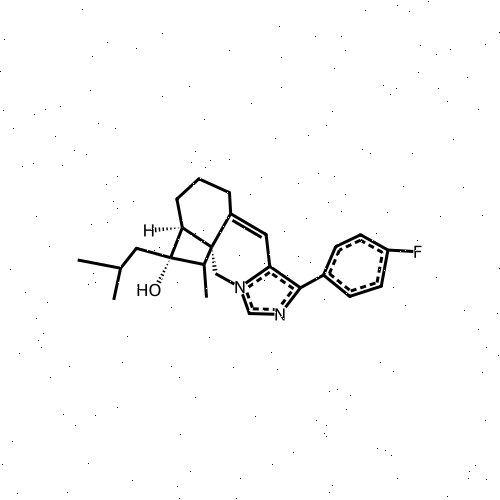 CC(C)C[C@]1(O)C(C)[C@]23Cn4cnc(-c5ccc(F)cc5)c4C=C2CCC[C@@H]31